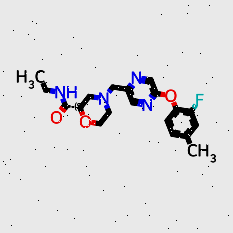 CCNC(=O)[C@@H]1CN(Cc2cnc(Oc3ccc(C)cc3F)cn2)CCO1